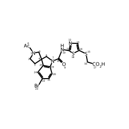 CC(=O)N1CCC2(C1)CN(C(=O)Nc1ncc(SCC(=O)O)s1)c1ccc(Br)cc12